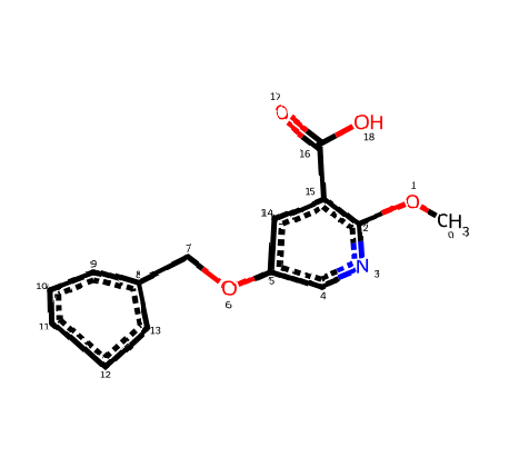 COc1ncc(OCc2ccccc2)cc1C(=O)O